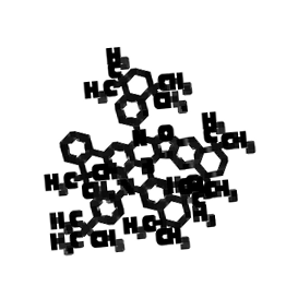 CC(C)(C)c1ccc(N2c3cc4c(cc3B3c5c2cc(-c2ccccc2C(C)(C)C)cc5N(c2ccc5c(c2)C(C)(C)CCC5(C)C)c2oc5cc6c(cc5c23)C(C)(C)CCC6(C)C)C(C)(C)CCC4(C)C)cc1